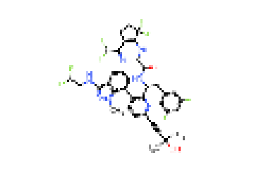 Cn1nc(NCC(F)F)c2cccc(-c3ccc(C#CC(C)(C)O)nc3C(Cc3cc(F)cc(F)c3)NC(=O)CNC3=C(C(=N)C(F)F)CCC3(F)F)c21